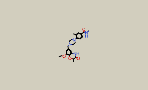 CCOc1cc(CN2CCN(c3ccc(C(=O)NC)cc3C)CC2)cc2c1OC(C)C(=O)N2